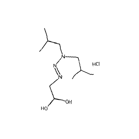 CC(C)CN(CC(C)C)N=NCC(O)O.Cl